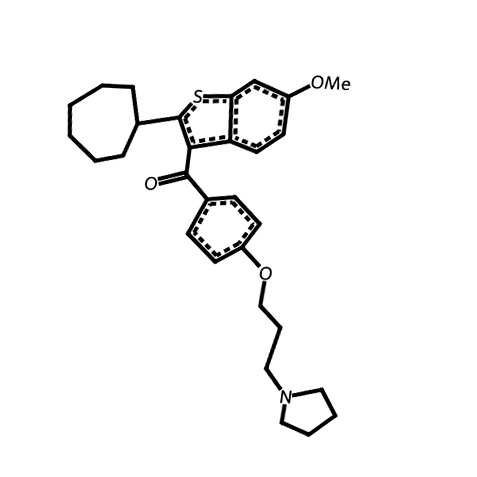 COc1ccc2c(C(=O)c3ccc(OCCCN4CCCC4)cc3)c(C3CCCCCC3)sc2c1